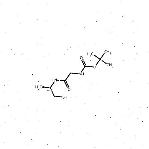 C[C@H](CS)NC(=O)CNC(=O)OC(C)(C)C